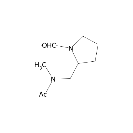 CC(=O)N(C)CC1CCCN1[C]=O